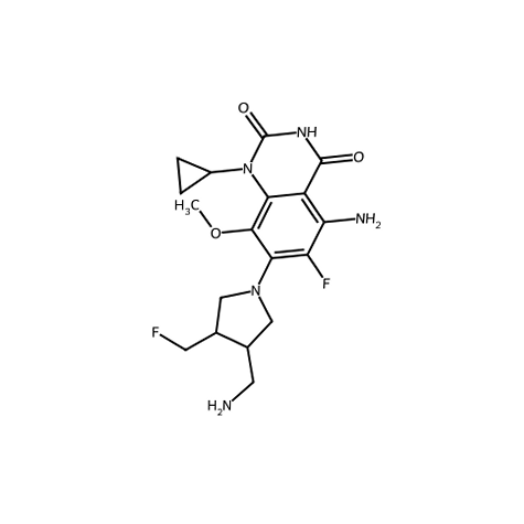 COc1c(N2CC(CN)C(CF)C2)c(F)c(N)c2c(=O)[nH]c(=O)n(C3CC3)c12